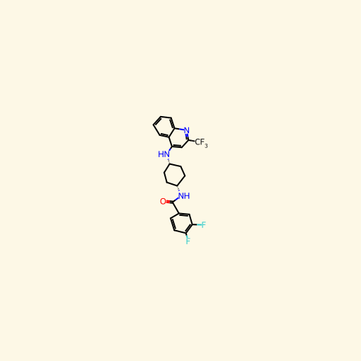 O=C(N[C@H]1CC[C@@H](Nc2cc(C(F)(F)F)nc3ccccc23)CC1)c1ccc(F)c(F)c1